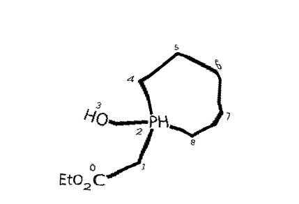 CCOC(=O)C[PH]1(O)CCCCC1